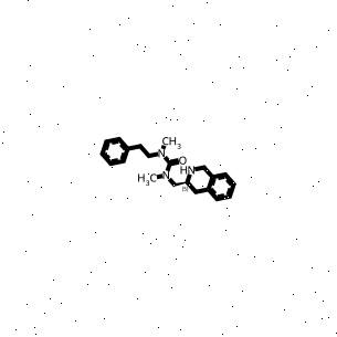 CN(CCc1ccccc1)C(=O)N(C)C[C@@H]1Cc2ccccc2CN1